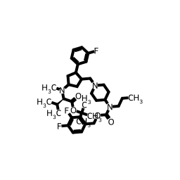 CCCN(C(=O)OCc1ccc(F)c(F)c1)C1CCN(CC2CC(N(C)[C@@H](C(=O)OC(C)(C)C)C(C)C)CC2c2cccc(F)c2)CC1